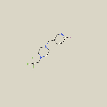 FC(F)(F)CN1CCN(Cc2ccc(I)nc2)CC1